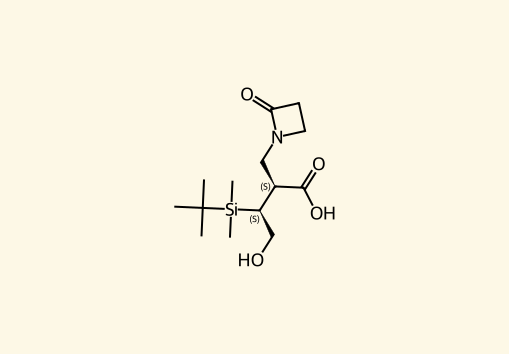 CC(C)(C)[Si](C)(C)[C@H](CO)[C@@H](CN1CCC1=O)C(=O)O